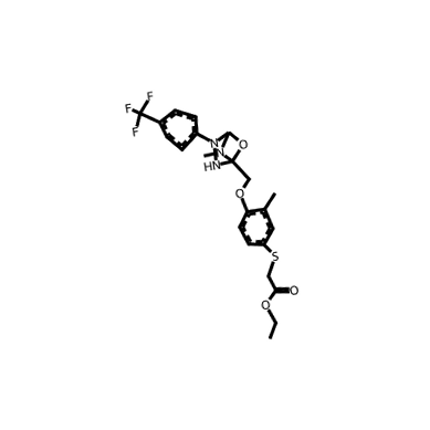 CCOC(=O)CSc1ccc(OCC23NN(c4ccc(C(F)(F)F)cc4)C(O2)N3C)c(C)c1